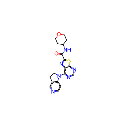 O=C(NC1CCOCC1)c1nc2c(N3CCc4cnccc43)ncnc2s1